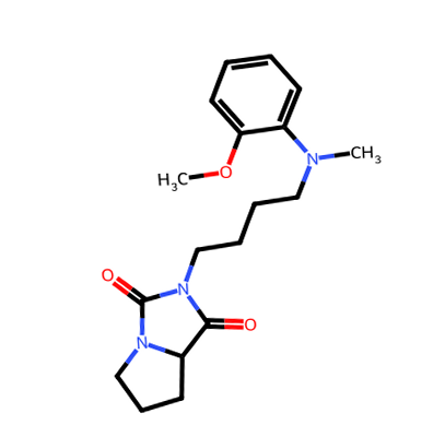 COc1ccccc1N(C)CCCCN1C(=O)C2CCCN2C1=O